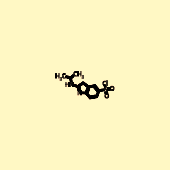 CC(C)NC1=Nc2ccc(S(=O)(=O)Cl)cc2C1